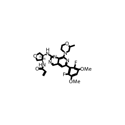 C=CC(=O)N[C@H]1COC[C@H]1Nc1ncc2cc(-c3c(F)c(OC)cc(OC)c3F)nc(N3CCOC(C)C3)c2n1